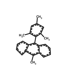 Cc1cc(C)c(-c2c3ccccc3c(C)c3ccccc23)c(C)c1